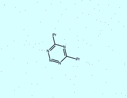 CC(C)c1nnnc(C(C)C)n1